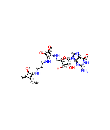 C=C1C(=O)C(NCCCNc2c(NC[C@H]3O[C@@H](n4cnc5c(=O)[nH]c(N)nc54)[C@H](O)[C@@H]3O)c(=O)c2=O)=C1OC